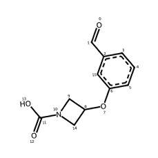 O=Cc1cccc(OC2CN(C(=O)O)C2)c1